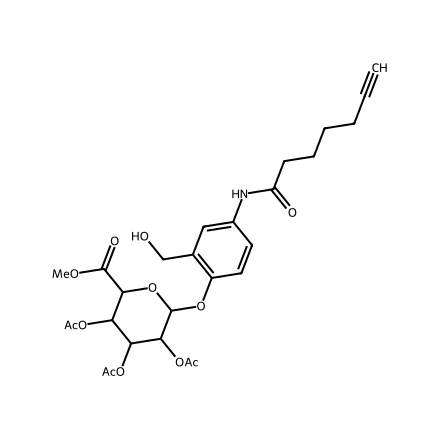 C#CCCCCC(=O)Nc1ccc(OC2OC(C(=O)OC)C(OC(C)=O)C(OC(C)=O)C2OC(C)=O)c(CO)c1